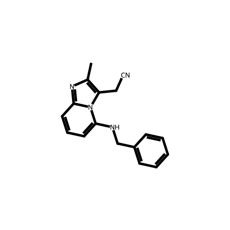 Cc1nc2cccc(NCc3ccccc3)n2c1CC#N